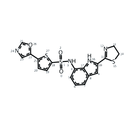 O=S(=O)(Nc1cccc2cc(C3=NCCS3)[nH]c12)c1ccc(-c2cnco2)s1